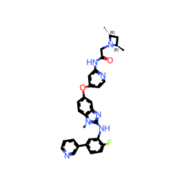 C[C@@H]1C[C@@H](C)N1CC(=O)Nc1cc(Oc2ccc3c(c2)nc(Nc2cc(-c4cccnc4)ccc2F)n3C)ccn1